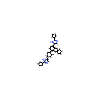 c1nc(C2CCCC2)[nH]c1-c1ccc(C2CCC(c3cnc(C4CCCC4)[nH]3)CC2)c2c1CC1(CCCC1)C2